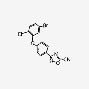 N#Cc1nc(-c2ccc(Oc3cc(Br)ccc3Cl)cc2)no1